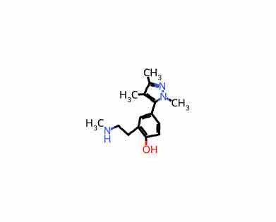 CNCCc1cc(-c2c(C)c(C)nn2C)ccc1O